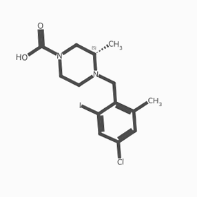 Cc1cc(Cl)cc(I)c1CN1CCN(C(=O)O)C[C@@H]1C